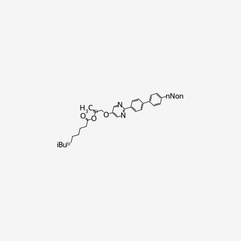 CCCCCCCCCc1ccc(-c2ccc(-c3ncc(OC[C@H](C)OC(=O)CCCCC[C@@H](C)CC)cn3)cc2)cc1